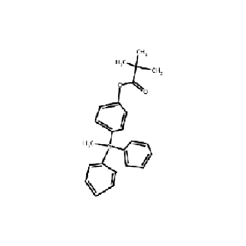 CC(C)(C)C(=O)Oc1ccc(S(C)(c2ccccc2)c2ccccc2)cc1